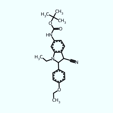 CCOc1ccc(C2C(C#N)c3ccc(NC(=O)OC(C)(C)C)cc3N2CC)cc1